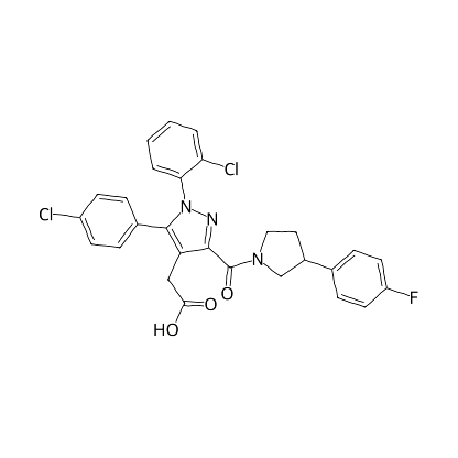 O=C(O)Cc1c(C(=O)N2CCC(c3ccc(F)cc3)C2)nn(-c2ccccc2Cl)c1-c1ccc(Cl)cc1